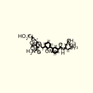 COc1c(CN2O[C@@H](COCC(=O)O)[C@H]([C@H](C)O)[C@H]2C(N)=O)cccc1-c1cccc(C(=O)N[C@H](CC(C)C)CN(C)C)c1